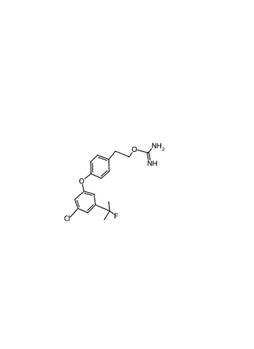 CC(C)(F)c1cc(Cl)cc(Oc2ccc(CCOC(=N)N)cc2)c1